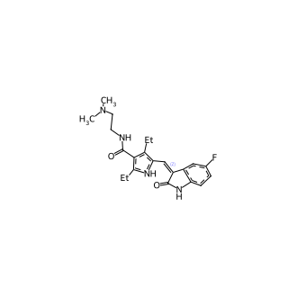 CCc1[nH]c(/C=C2\C(=O)Nc3ccc(F)cc32)c(CC)c1C(=O)NCCN(C)C